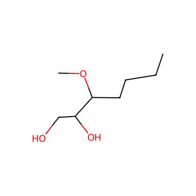 CCCCC(OC)C(O)CO